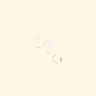 CC1(C)CC(=O)c2c(ncn2Cc2ccc(C(=O)O)cc2)C1